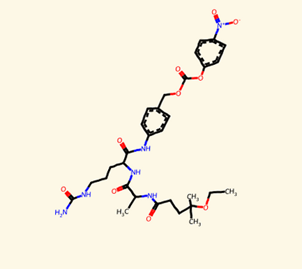 CCOC(C)(C)CCC(=O)NC(C)C(=O)NC(CCCNC(N)=O)C(=O)Nc1ccc(COC(=O)Oc2ccc([N+](=O)[O-])cc2)cc1